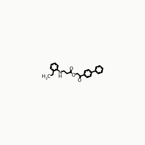 CCc1ccccc1NCCC(=O)OCC(=O)c1ccc(-c2ccccc2)cc1